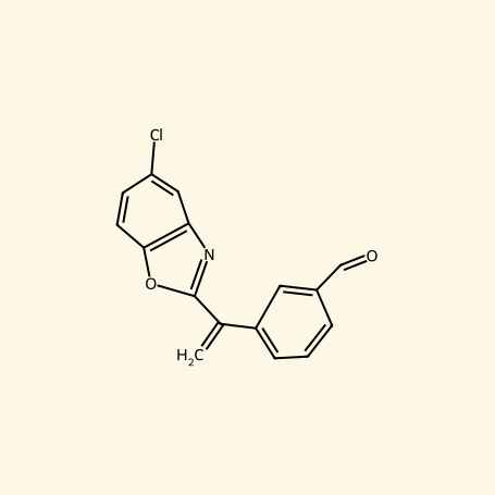 C=C(c1cccc(C=O)c1)c1nc2cc(Cl)ccc2o1